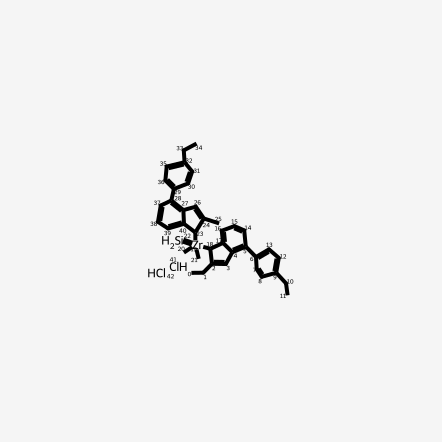 CCC1=Cc2c(-c3ccc(CC)cc3)cccc2[CH]1[Zr]([CH3])([CH3])(=[SiH2])[CH]1C(C)=Cc2c(-c3ccc(CC)cc3)cccc21.Cl.Cl